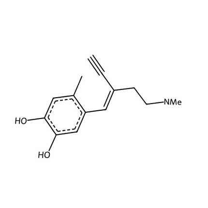 C#C/C(=C\c1cc(O)c(O)cc1C)CCNC